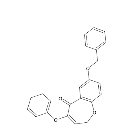 O=C1C(OC2=CCCC=C2)=CCOc2ccc(OCc3ccccc3)cc21